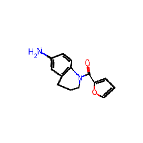 Nc1ccc2c(c1)CCCN2C(=O)c1ccco1